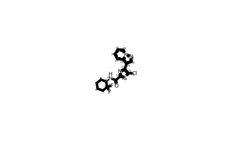 O=C(N[C@@H]1CCCCC1(F)F)c1nc(-c2cnn3ccccc23)c(Cl)s1